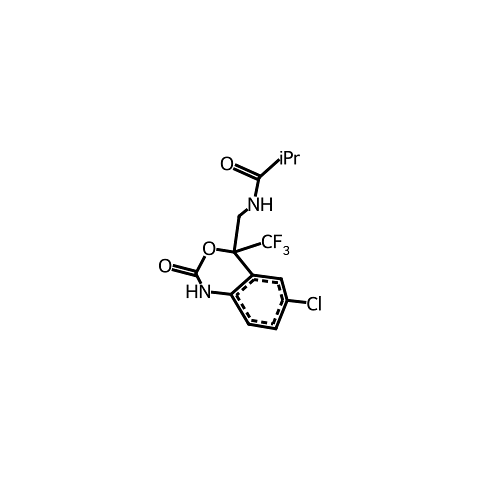 CC(C)C(=O)NCC1(C(F)(F)F)OC(=O)Nc2ccc(Cl)cc21